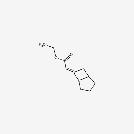 CCOC(=O)C=C1CC2CCCC12